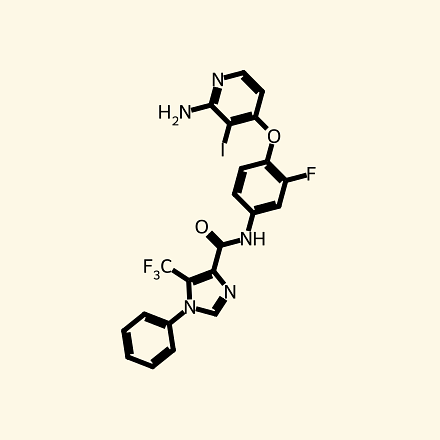 Nc1nccc(Oc2ccc(NC(=O)c3ncn(-c4ccccc4)c3C(F)(F)F)cc2F)c1I